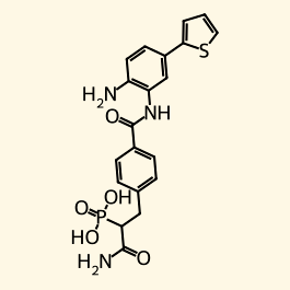 NC(=O)C(Cc1ccc(C(=O)Nc2cc(-c3cccs3)ccc2N)cc1)P(=O)(O)O